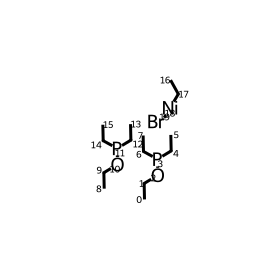 CCOP(CC)CC.CCOP(CC)CC.C[CH2][Ni][Br]